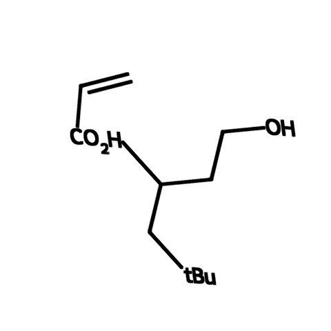 C=CC(=O)O.CC(CCO)CC(C)(C)C